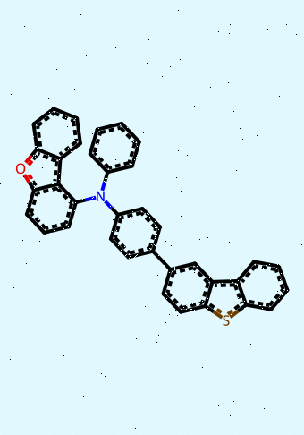 c1ccc(N(c2ccc(-c3ccc4sc5ccccc5c4c3)cc2)c2cccc3oc4ccccc4c23)cc1